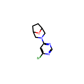 Brc1cc(N2CC3CCC(C2)O3)ncn1